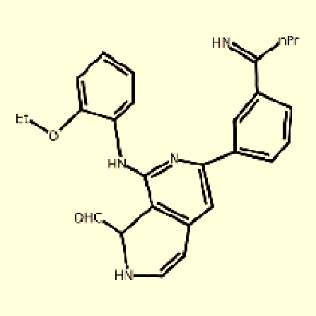 CCCC(=N)c1cccc(-c2cc3c(c(Nc4ccccc4OCC)n2)C(C=O)NC=C3)c1